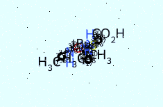 Cc1ccc(CNC(COc2cc(-c3c(C)cccc3C)nc(NSc3cccc(C(=O)O)c3)n2)CC(C)(C)C)cc1